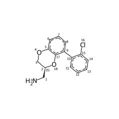 NC[C@H]1COc2cccc(-c3ccccc3Cl)c2O1